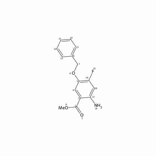 COC(=O)c1cc(OCc2ccccc2)c(F)cc1N